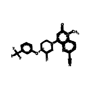 Cn1c(=O)cc(N2CC[C@@H](Oc3cccc(C(F)(F)F)c3)C(F)C2)c2nc(C#N)ccc21